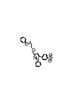 CC(CCOCc1cc(-c2ccc(S(C)(=O)=O)cc2)n(-c2ccccc2)n1)Oc1ccccc1